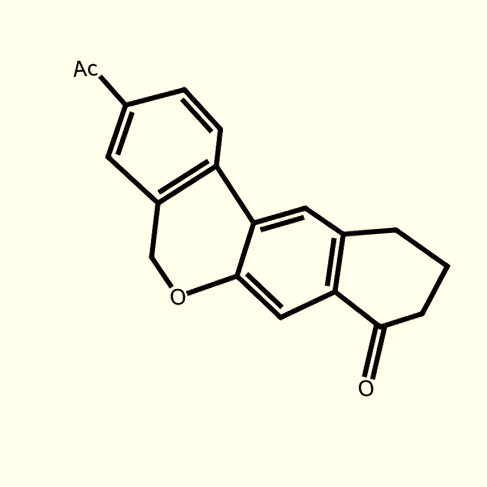 CC(=O)c1ccc2c(c1)COc1cc3c(cc1-2)CCCC3=O